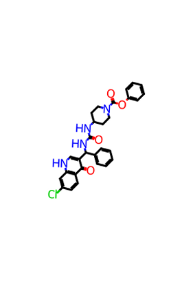 O=C(NC1CCN(C(=O)Oc2ccccc2)CC1)NC(c1ccccc1)c1c[nH]c2cc(Cl)ccc2c1=O